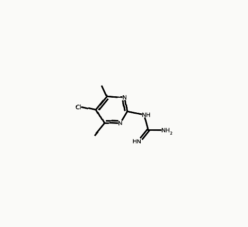 Cc1nc(NC(=N)N)nc(C)c1Cl